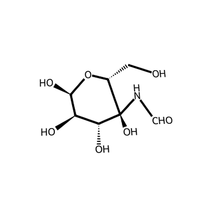 O=CN[C@]1(O)[C@H](O)[C@@H](O)[C@@H](O)O[C@@H]1CO